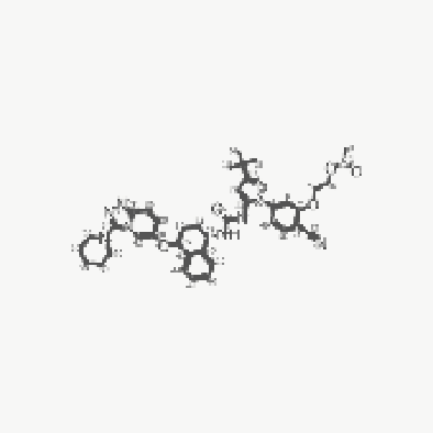 CS(=O)OCCOc1cc(-n2nc(C(C)(C)C)cc2NC(=O)N[C@H]2CCC(Oc3ccc4nnc(N5CCCCC5)n4c3)c3ccccc32)ccc1C#N